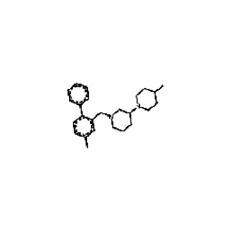 Cc1ccc(-c2ccccc2)c(CN2CCCC(N3CCC(C)CC3)C2)c1